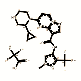 Cn1cc(NC(=O)c2cnn3ccc(N4CCNCC4C4CC4)nc23)c(C(F)(F)F)n1.O=C(O)C(F)(F)F